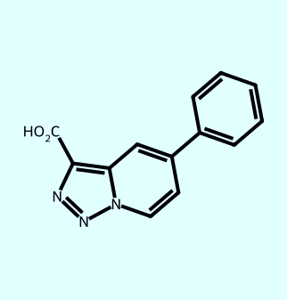 O=C(O)c1nnn2ccc(-c3ccccc3)cc12